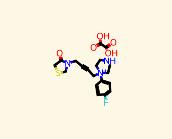 O=C(O)C(=O)O.O=C1CSCN1CC#CC[N+]1(c2ccc(F)cc2)CCNCC1